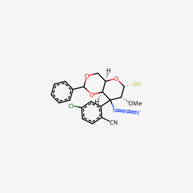 CO[C@H]1[C@@H](S)O[C@@H]2COC(c3ccccc3)O[C@@H]2C1(N=[N+]=[N-])c1cc(Cl)ccc1C#N